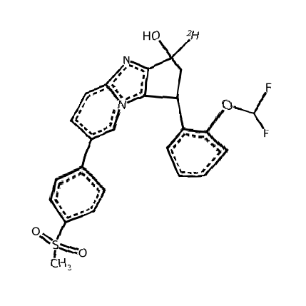 [2H]C1(O)CC(c2ccccc2OC(F)F)c2c1nc1ccc(-c3ccc(S(C)(=O)=O)cc3)cn21